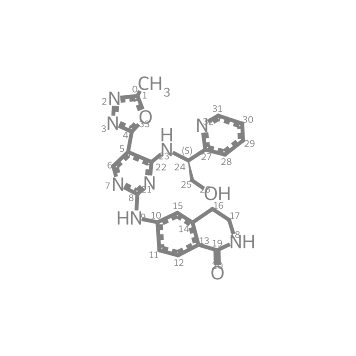 Cc1nnc(-c2cnc(Nc3ccc4c(c3)CCNC4=O)nc2N[C@H](CO)c2ccccn2)o1